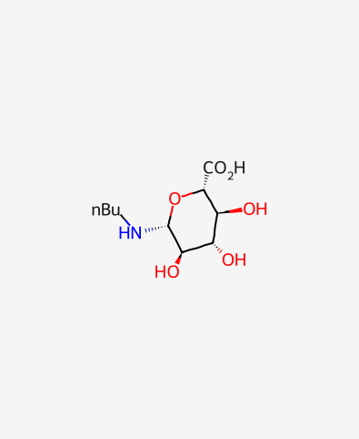 CCCCN[C@@H]1O[C@H](C(=O)O)[C@@H](O)[C@H](O)[C@H]1O